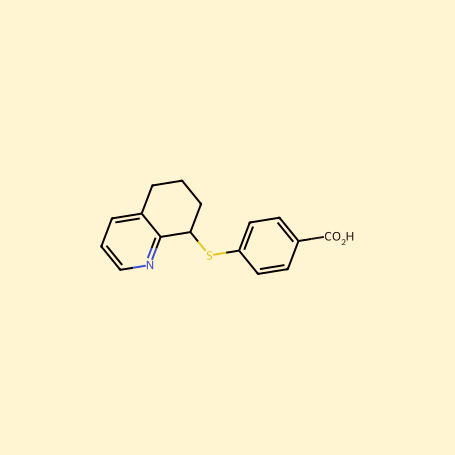 O=C(O)c1ccc(SC2CCCc3cccnc32)cc1